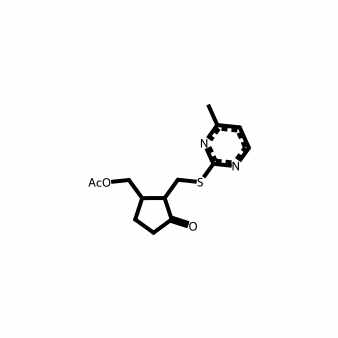 CC(=O)OCC1CCC(=O)C1CSc1nccc(C)n1